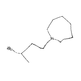 CCC(C)C(C)CCN1CCCCCC1